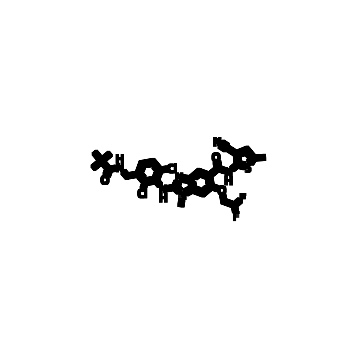 Cc1cc(C#N)c(NC(=O)c2cc3nc(Nc4c(Cl)ccc(CNC(=O)C(C)(C)C)c4Cl)n(C)c3cc2OCC(F)F)s1